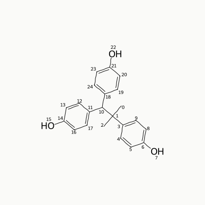 CC(C)(c1ccc(O)cc1)C(c1ccc(O)cc1)c1ccc(O)cc1